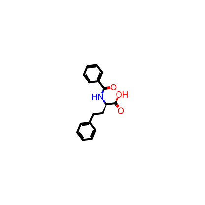 O=C(N[C@H](CCc1ccccc1)C(=O)O)c1ccccc1